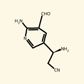 N#CC[C@H](N)c1cnc(N)c(C=O)c1